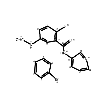 Brc1ccccc1.O=CNc1ccc(F)c(C(=O)Nc2cccnc2)c1